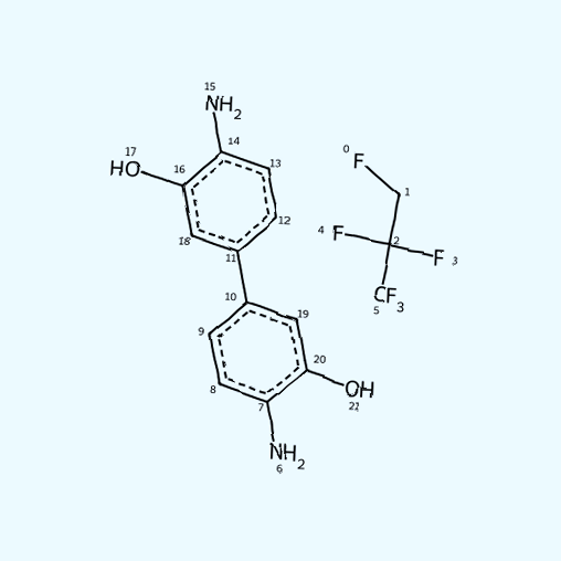 FCC(F)(F)C(F)(F)F.Nc1ccc(-c2ccc(N)c(O)c2)cc1O